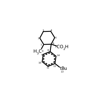 CC1CCCCC1(C(=O)O)c1cccc(C(C)(C)C)c1